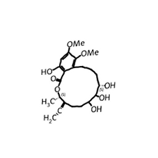 C=C=C1CCC(O)C(O)[C@@H](O)CCCc2c(OC)c(OC)cc(O)c2C(=O)O[C@H]1C